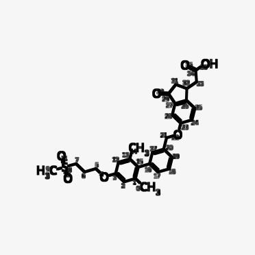 Cc1cc(OCCCS(C)(=O)=O)cc(C)c1-c1cccc(COc2ccc3c(c2)C(=O)CC3CC(=O)O)c1